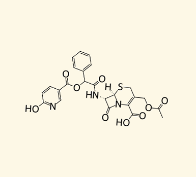 CC(=O)OCC1=C(C(=O)O)N2C(=O)[C@H](NC(=O)C(OC(=O)c3ccc(O)nc3)c3ccccc3)[C@H]2SC1